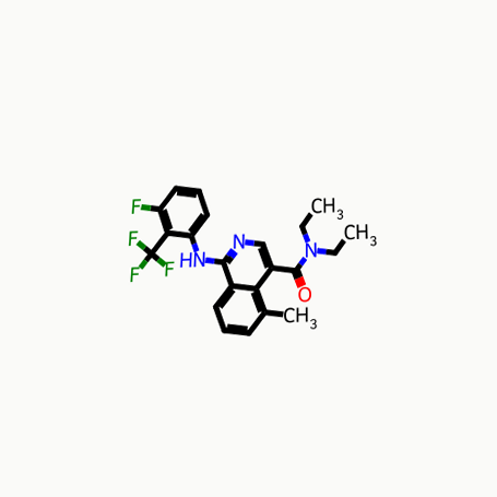 CCN(CC)C(=O)c1cnc(Nc2cccc(F)c2C(F)(F)F)c2cccc(C)c12